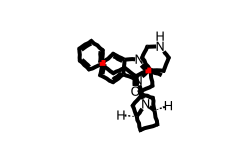 Cc1nc2ccccc2n1C1C[C@H]2CC[C@@H](C1)N2CCC1(C(=O)CCc2ccccc2)CCNCC1